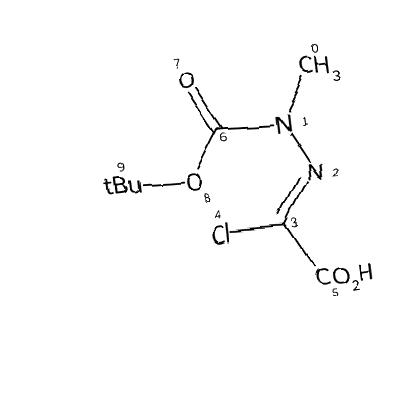 CN(N=C(Cl)C(=O)O)C(=O)OC(C)(C)C